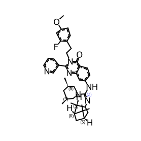 COc1ccc(CCn2c(-c3cccnc3)nc3cc(N/C(=N/C4C[C@@H]5C[C@H]([C@@H]4C)C5(C)C)N4C[C@H](C)C[C@H](C)C4)ccc3c2=O)c(F)c1